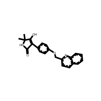 CC1(C)NC(=O)C(c2ccc(OCc3ccc4ccccc4n3)cc2)=C1O